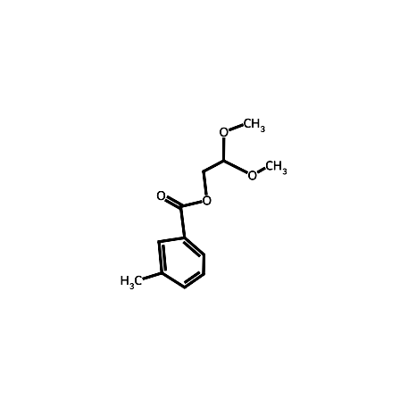 COC(COC(=O)c1cccc(C)c1)OC